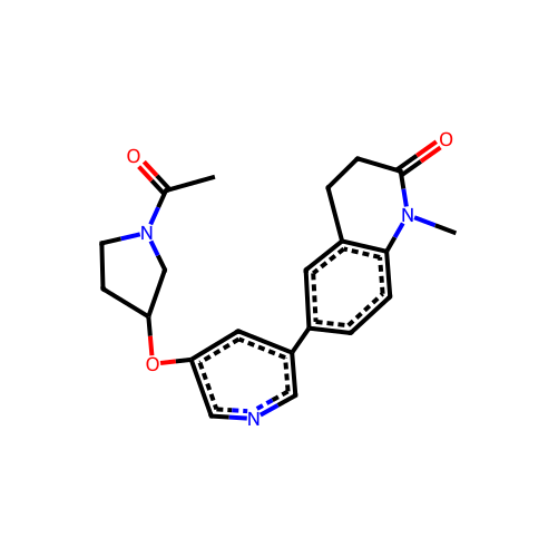 CC(=O)N1CCC(Oc2cncc(-c3ccc4c(c3)CCC(=O)N4C)c2)C1